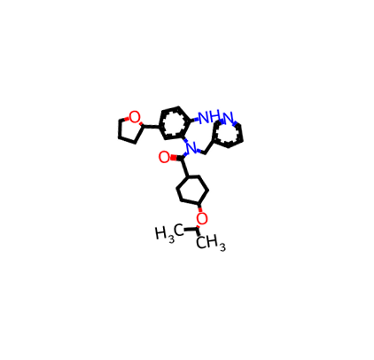 CC(C)OC1CCC(C(=O)N2Cc3cccnc3Nc3ccc(C4CCCO4)cc32)CC1